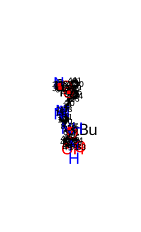 CC(C)(C)[Si](C)(C)O[C@@H](CNCc1ccc2c(c1)nnn2CCCCc1cccc(C2(C(=O)O[C@H]3CN4CCC3CC4)CCCCC2)c1)c1ccc(O)c2[nH]c(=O)ccc12